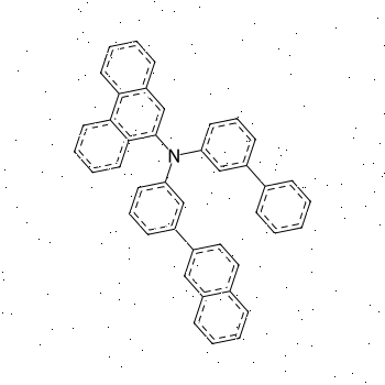 c1ccc(-c2cccc(N(c3cccc(-c4ccc5ccccc5c4)c3)c3cc4ccccc4c4ccccc34)c2)cc1